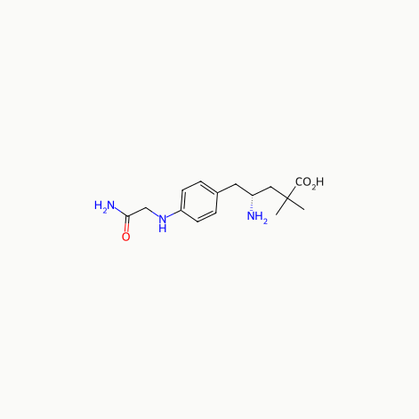 CC(C)(C[C@H](N)Cc1ccc(NCC(N)=O)cc1)C(=O)O